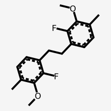 COc1c(C)ccc(CCc2ccc(C)c(OC)c2F)c1F